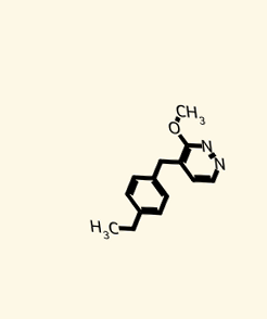 CCc1ccc(Cc2ccnnc2OC)cc1